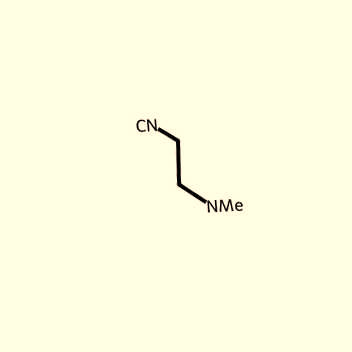 [C-]#[N+]CCNC